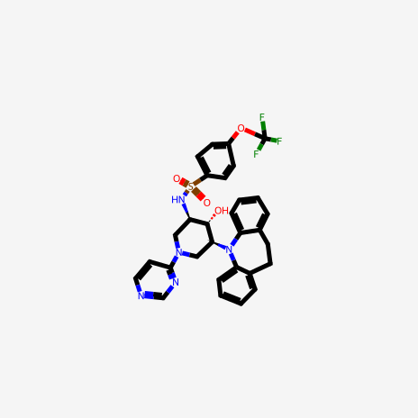 O=S(=O)(N[C@@H]1CN(c2ccncn2)C[C@H](N2c3ccccc3CCc3ccccc32)[C@H]1O)c1ccc(OC(F)(F)F)cc1